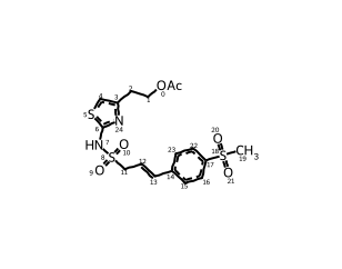 CC(=O)OCCc1csc(NS(=O)(=O)CC=Cc2ccc(S(C)(=O)=O)cc2)n1